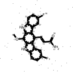 COc1c2[nH]c3ccc(F)cc3c2c(/C=C/C(N)=O)c2c1[nH]c1ccc(F)cc12